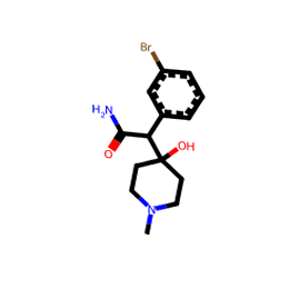 CN1CCC(O)(C(C(N)=O)c2cccc(Br)c2)CC1